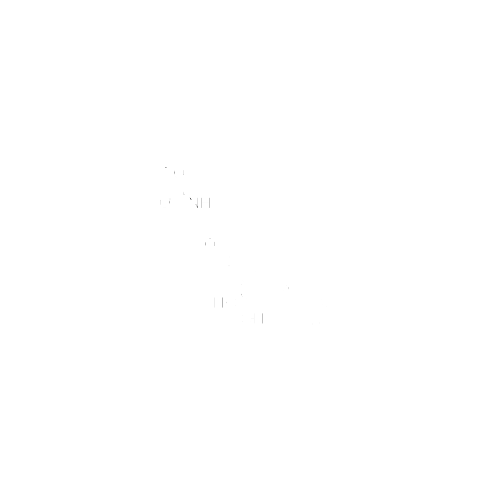 CC(C)(C)OC(=O)NCCOc1ccc2c(c1)S(O)(O)CC2Sc1ccccc1